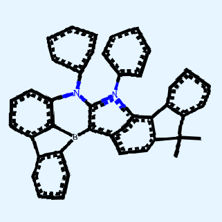 CC1(C)c2ccccc2-c2c1ccc1c3c(n(-c4ccccc4)c21)N(c1ccccc1)c1cccc2c1B3c1ccccc1-2